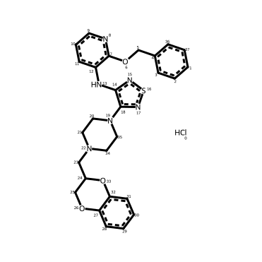 Cl.c1ccc(COc2ncccc2Nc2nsnc2N2CCN(CC3COc4ccccc4O3)CC2)cc1